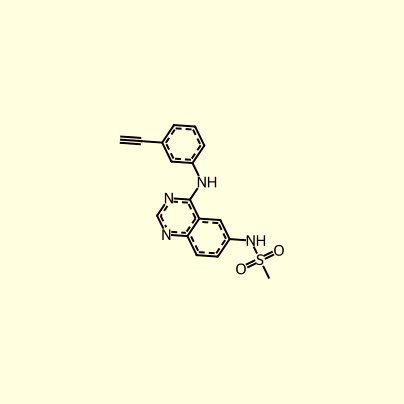 C#Cc1cccc(Nc2ncnc3ccc(NS(C)(=O)=O)cc23)c1